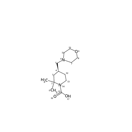 CC1(C)C[C@@H](CN2CCOCC2)CCN1C(=O)O